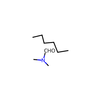 CCCCCC.CN(C)C=O